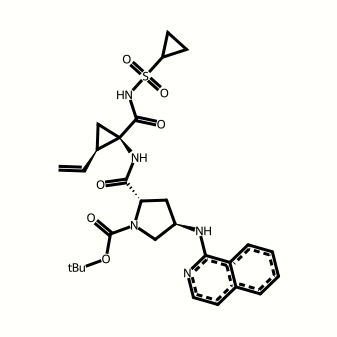 C=C[C@H]1C[C@]1(NC(=O)[C@@H]1C[C@@H](Nc2nccc3ccccc23)CN1C(=O)OC(C)(C)C)C(=O)NS(=O)(=O)C1CC1